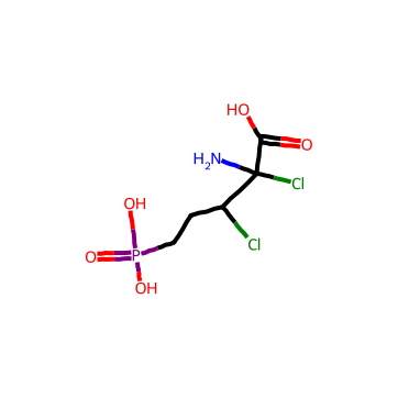 NC(Cl)(C(=O)O)C(Cl)CCP(=O)(O)O